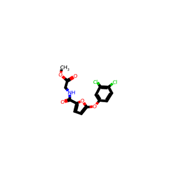 COC(=O)CNC(=O)c1ccc(Oc2ccc(Cl)c(Cl)c2)o1